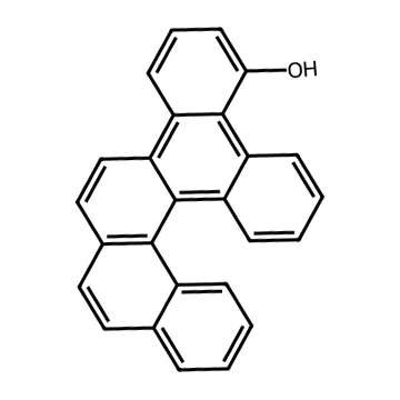 Oc1cccc2c3ccc4ccc5ccccc5c4c3c3ccccc3c12